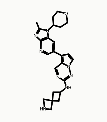 Cc1nc2ncc(-c3ccn4nc(NC5CC6(CNC6)C5)ncc34)cc2n1C1CCOCC1